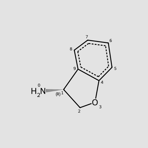 N[C@H]1COc2ccccc21